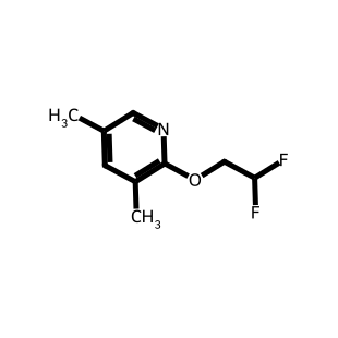 Cc1cnc(OCC(F)F)c(C)c1